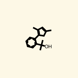 CC1=CC(C)=C(c2ccccc2C(C)(C)O)C1